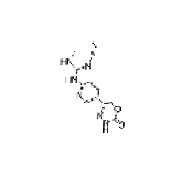 CNC(=NC#N)Nc1ccc(C2=NNC(=O)OC2)cn1